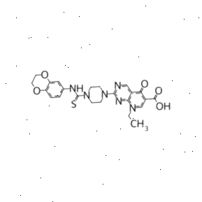 CCn1cc(C(=O)O)c(=O)c2cnc(N3CCN(C(=S)Nc4ccc5c(c4)OCCO5)CC3)nc21